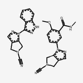 CNC(=O)c1cc(-n2ncc3c2CN(C#N)C3)ccc1OC.N#CN1Cc2cnn(-c3n[nH]c4ccccc34)c2C1